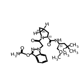 COC[C@H](CC(C)(C)C)NC(=O)[C@@H]1C[C@H]2C[C@H]2N1C(=O)Cn1nc(OC(N)=O)c2ccccc21